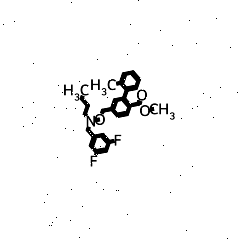 CCCCN(Cc1cc(F)cc(F)c1)OCc1ccc(C(=O)OC)c(-c2ccccc2C)c1